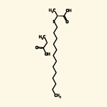 CCC(=O)O.CCCCCCCCCCCCCSC(C)C(=O)O